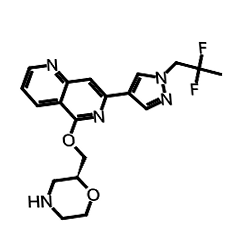 CC(F)(F)Cn1cc(-c2cc3ncccc3c(OC[C@@H]3CNCCO3)n2)cn1